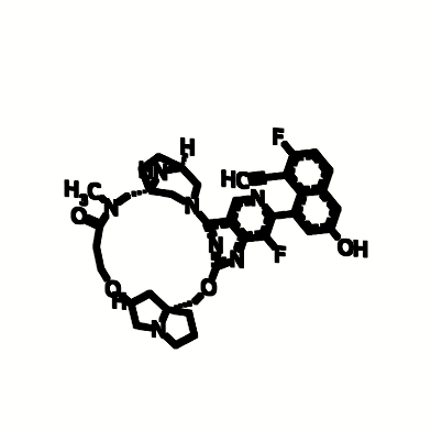 C#Cc1c(F)ccc2cc(O)cc(-c3ncc4c5nc(nc4c3F)OC[C@]34CCCN3C[C@@H](C4)OCCC(=O)N(C)C[C@@]34CC[C@@H](CN5C3)N4)c12